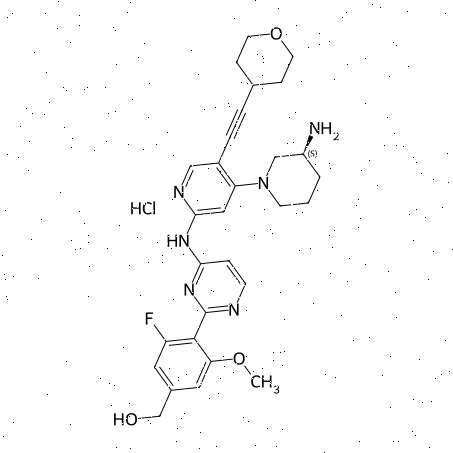 COc1cc(CO)cc(F)c1-c1nccc(Nc2cc(N3CCC[C@H](N)C3)c(C#CC3CCOCC3)cn2)n1.Cl